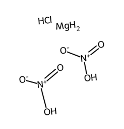 Cl.O=[N+]([O-])O.O=[N+]([O-])O.[MgH2]